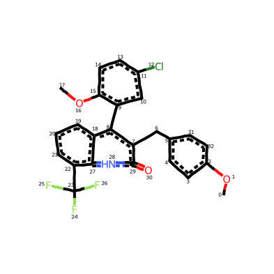 COc1ccc(Cc2c(-c3cc(Cl)ccc3OC)c3cccc(C(F)(F)F)c3[nH]c2=O)cc1